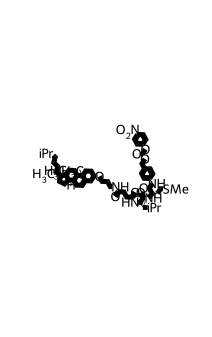 CSCC[C@H](NC(=O)[C@H](CC(C)C)NC(=O)CCC(=O)NCCCO[C@H]1CC[C@@]2(C)C(=CC[C@H]3C4CCC([C@H](C)CCCC(C)C)[C@@]4(C)CCC32)C1)C(=O)Nc1ccc(COC(=O)Oc2ccc([N+](=O)[O-])cc2)cc1